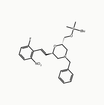 CC(C)(C)[Si](C)(C)OC[C@@H]1CN(Cc2ccccc2)C[C@@H](C=Cc2c(F)cccc2[N+](=O)[O-])O1